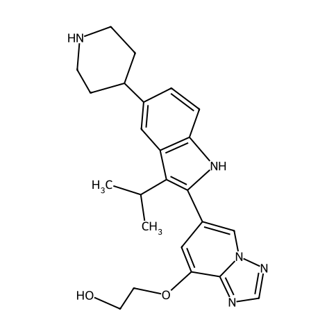 CC(C)c1c(-c2cc(OCCO)c3ncnn3c2)[nH]c2ccc(C3CCNCC3)cc12